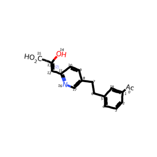 CC(=O)c1cccc(CCc2ccc(/C=C(\O)C(=O)O)nc2)c1